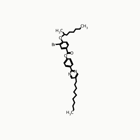 CCCCCCCCCCc1cnc(-c2ccc(OC(=O)c3ccc(OC(C)CCCCCC)c(Br)c3)cc2)nc1